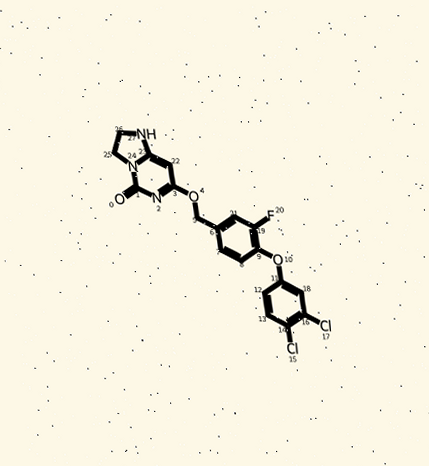 O=c1nc(OCc2ccc(Oc3ccc(Cl)c(Cl)c3)c(F)c2)cc2n1CCN2